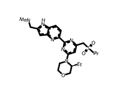 CC[C@H]1COCCN1c1cc(CS(=O)(=O)C(C)C)nc(-c2ccc3[nH]c(CNC)cc3n2)n1